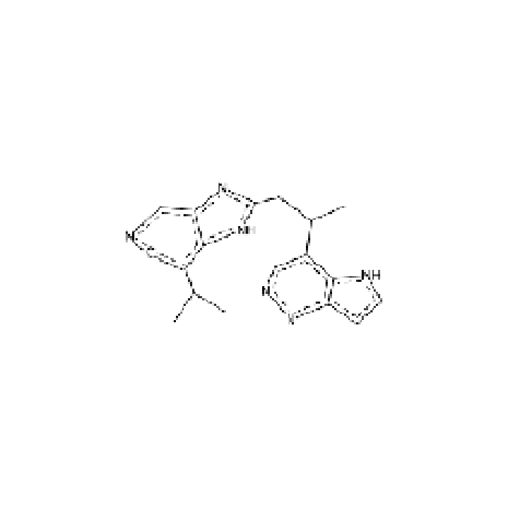 CC(C)c1cncc2nc(CC(C)c3cnnc4cc[nH]c34)[nH]c12